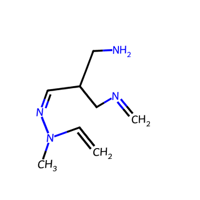 C=CN(C)/N=C\C(CN)CN=C